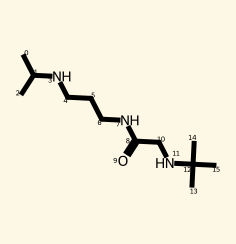 CC(C)NCCCNC(=O)CNC(C)(C)C